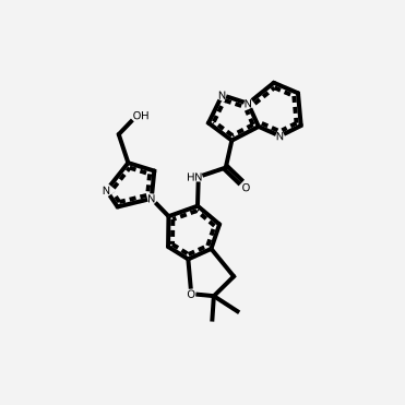 CC1(C)Cc2cc(NC(=O)c3cnn4cccnc34)c(-n3cnc(CO)c3)cc2O1